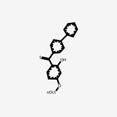 CCCCCCCCOc1ccc(C(=S)c2ccc(-c3ccccc3)cc2)c(O)c1